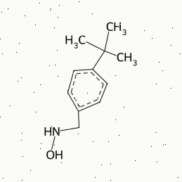 CC(C)(C)c1ccc(CNO)cc1